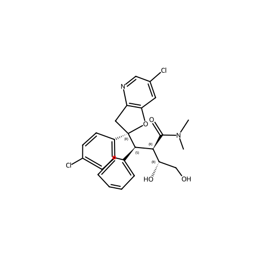 CN(C)C(=O)[C@H]([C@@H](c1ccccc1)[C@@]1(c2ccc(Cl)cc2)Cc2ncc(Cl)cc2O1)[C@@H](O)CO